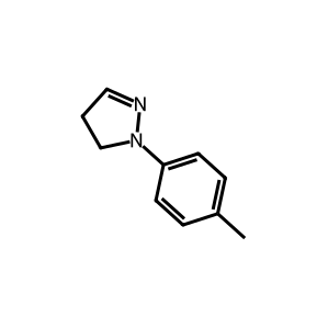 Cc1ccc(N2CCC=N2)cc1